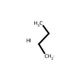 I.[CH2]CCC